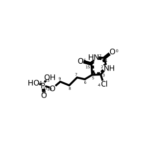 O=c1[nH]c(Cl)c(CCCCOP(=O)(O)O)c(=O)[nH]1